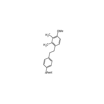 CCCCCc1ccc(CCc2ccc(OC)c(C)c2C)cc1